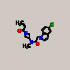 C=CC(=O)N1CC(N(C)C(=O)Cn2ccc3cc(Cl)ccc32)C1